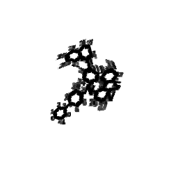 c1ccc(-c2ccc(N(c3ccc(-c4cccc5ccccc45)cc3)c3ccnc4sc5ccccc5c34)cc2)cc1